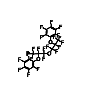 Fc1c(F)c(F)c(OC(F)(C(F)(F)F)C(F)(F)OC(F)(F)C(F)(Oc2c(F)c(F)c(F)c(F)c2F)C(F)(F)F)c(F)c1F